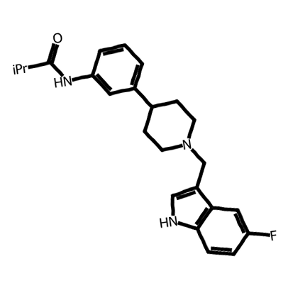 CC(C)C(=O)Nc1cccc(C2CCN(Cc3c[nH]c4ccc(F)cc34)CC2)c1